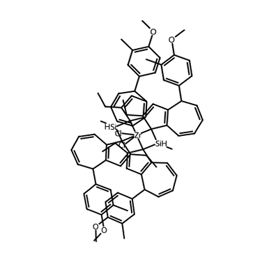 CCC1=CC2=C(C=CC=CC2c2ccc(OC)c(C)c2)[C]12[SiH](C)[C]1(C(CC)=CC3=C1C=CC=CC3c1ccc(OC)c(C)c1)[Zr]21([Cl])([Cl])[C]2(C(CC)=CC3=C2C=CC=CC3c2ccc(OC)c(C)c2)[SiH](C)[C]12C(CC)=CC1=C2C=CC=CC1c1ccc(OC)c(C)c1